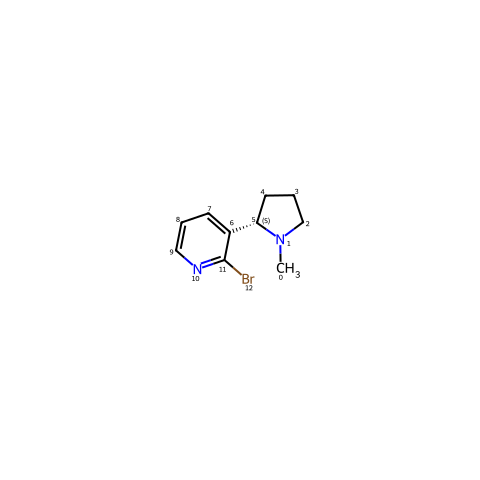 CN1CCC[C@H]1c1cccnc1Br